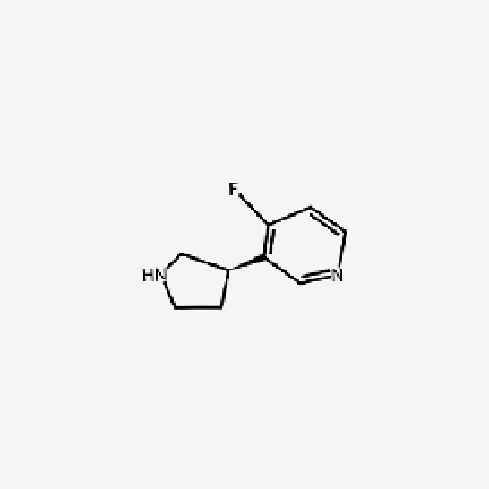 Fc1ccncc1[C@H]1CCNC1